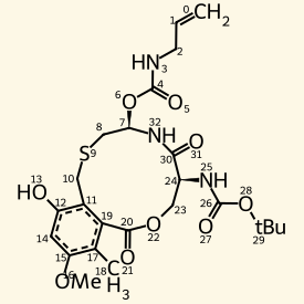 C=CCNC(=O)O[C@@H]1CSCc2c(O)cc(OC)c(C)c2C(=O)OC[C@H](NC(=O)OC(C)(C)C)C(=O)N1